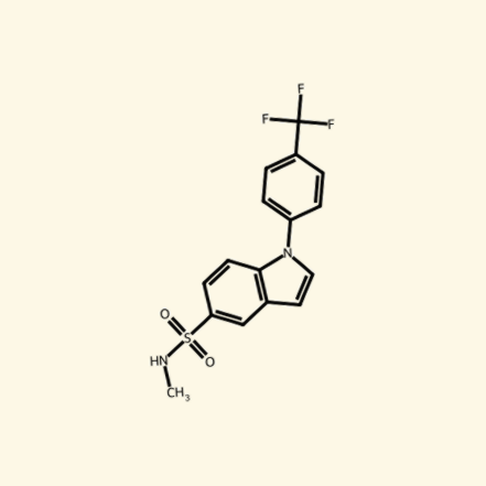 CNS(=O)(=O)c1ccc2c(ccn2-c2ccc(C(F)(F)F)cc2)c1